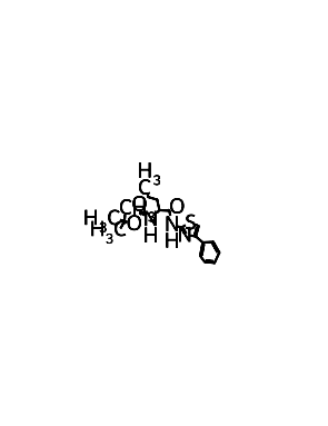 CCCC(NC(=O)OC(C)(C)C)C(=O)Nc1nc(-c2ccccc2)cs1